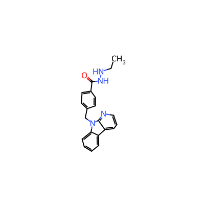 CCNNC(=O)c1ccc(Cn2c3ccccc3c3cccnc32)cc1